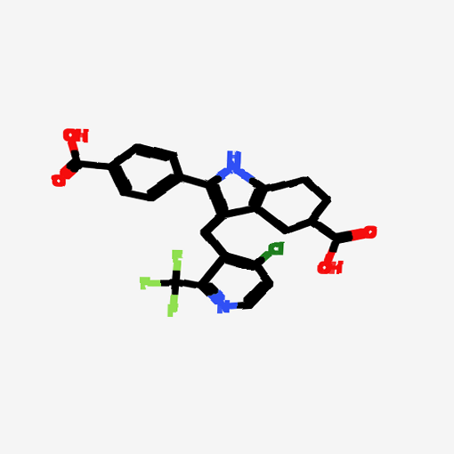 O=C(O)c1ccc(-c2[nH]c3c(c2Cc2c(Cl)ccnc2C(F)(F)F)CC(C(=O)O)CC3)cc1